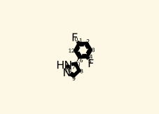 Fc1ccc(F)c([C@@H]2CC=NN2)c1